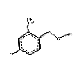 CC(C)OCc1ccc(F)cc1C(F)(F)F